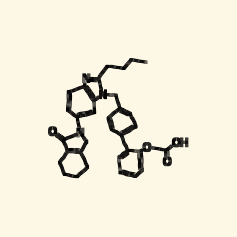 CCCCc1nc2ccc(N3CC4=C(CCCC4)C3=O)cc2n1Cc1ccc(-c2ccccc2OC(=O)O)cc1